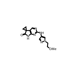 COCCn1cc(Nc2ncc3c(n2)NC(=O)C32CC2)cn1